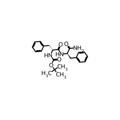 CC(C)(C)OC(=O)N[C@H](Cc1ccccc1)C(=O)N[C@H](Cc1ccccc1)C(N)=O